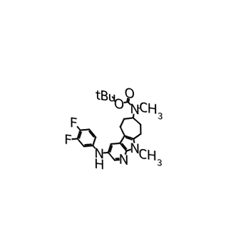 CN(C(=O)OC(C)(C)C)C1CCc2c(n(C)c3ncc(Nc4ccc(F)c(F)c4)cc23)CC1